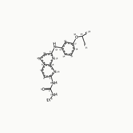 CCNC(=O)Nc1ccc2ncc(Nc3cccc(OC(F)F)c3)nc2n1